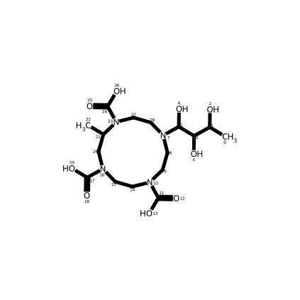 CC(O)C(O)C(O)N1CCN(C(=O)O)CCN(C(=O)O)CC(C)N(C(=O)O)CC1